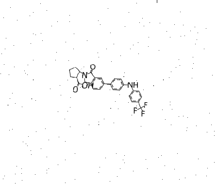 C[C@@]1(N2Cc3ccc(-c4ccc(Nc5ccc(C(F)(F)F)cc5)cc4)cc3C2=O)CCC[C@@H]1C(=O)O